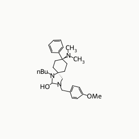 CCCCN1C(O)N(Cc2ccc(OC)cc2)C[C@]12CC[C@](c1ccccc1)(N(C)C)CC2